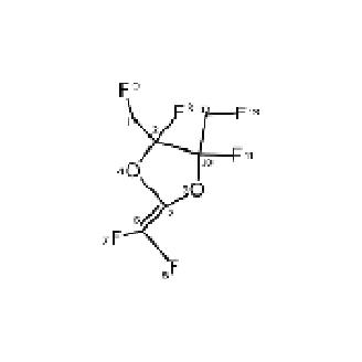 FCC1(F)OC(=C(F)F)OC1(F)CF